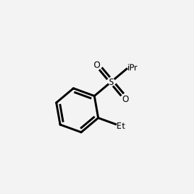 CCc1ccccc1S(=O)(=O)C(C)C